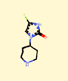 O=c1[nH]c(F)cn1C1CCNCC1